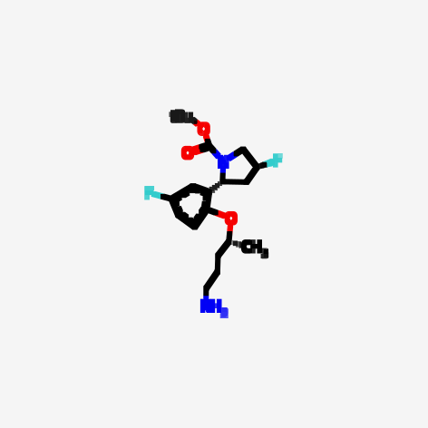 C[C@H](CCCN)Oc1ccc(F)cc1[C@H]1C[C@H](F)CN1C(=O)OC(C)(C)C